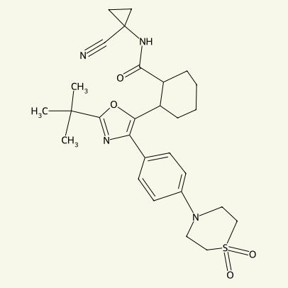 CC(C)(C)c1nc(-c2ccc(N3CCS(=O)(=O)CC3)cc2)c(C2CCCCC2C(=O)NC2(C#N)CC2)o1